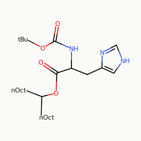 CCCCCCCCC(CCCCCCCC)OC(=O)C(Cc1c[nH]cn1)NC(=O)OC(C)(C)C